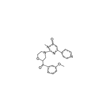 COc1cccc(C(=O)C2CN(c3nc(-c4ccncc4)cc(=O)n3C)CCO2)c1